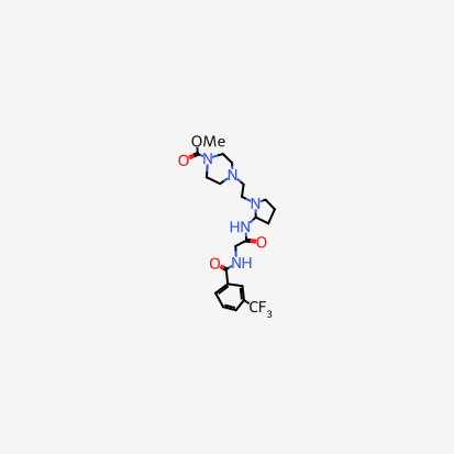 COC(=O)N1CCN(CCN2CCCC2NC(=O)CNC(=O)c2cccc(C(F)(F)F)c2)CC1